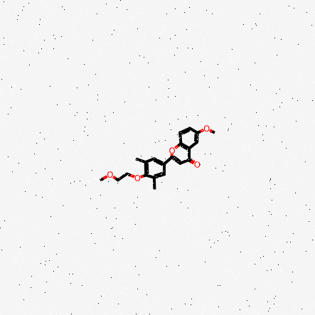 COCCOc1c(C)cc(-c2cc(=O)c3cc(OC)ccc3o2)cc1C